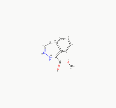 CC(C)(C)OC(=O)C1=c2ccccc2=CC=NN1